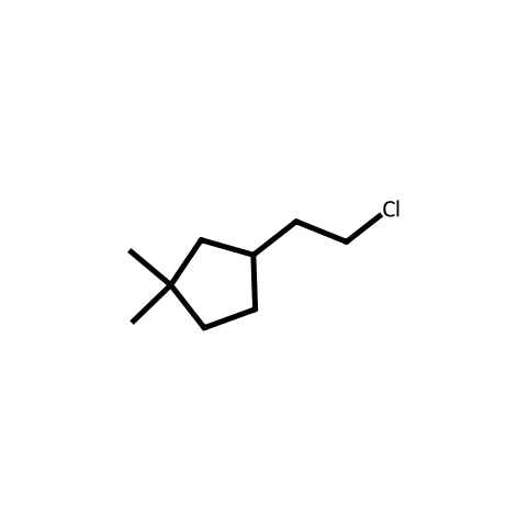 CC1(C)CCC(CCCl)C1